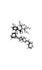 CC(C)N(C(=O)c1cc(F)ccc1Oc1cncnc1N1CC2(CCN(CC3=CCN=CC3)CC2)C1)C(C)C